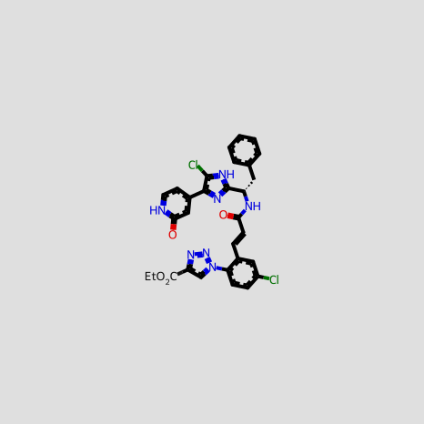 CCOC(=O)c1cn(-c2ccc(Cl)cc2C=CC(=O)N[C@@H](Cc2ccccc2)c2nc(-c3cc[nH]c(=O)c3)c(Cl)[nH]2)nn1